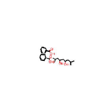 CC(C)CC(O)CC(O)CC(C)C.O=C(O)c1ccccc1.O=C(O)c1ccccc1